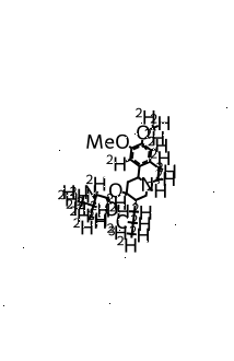 [2H]c1c(OC)c(OC([2H])([2H])[2H])c([2H])c2c1C1CC([2H])(OC(=O)[C@@]([2H])(N)C([2H])(C([2H])([2H])[2H])C([2H])([2H])[2H])C(C([2H])([2H])C([2H])(C)C([2H])([2H])[2H])CN1C([2H])([2H])C2([2H])[2H]